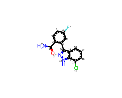 NC(=O)c1ccc(F)cc1-c1n[nH]c2c(Cl)cccc12